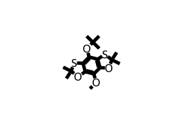 COc1c2c(c(OC(C)(C)C)c3c1OC(C)(C)S3)SC(C)(C)O2